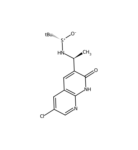 C[C@H](N[S@@+]([O-])C(C)(C)C)c1cc2cc(Cl)cnc2[nH]c1=O